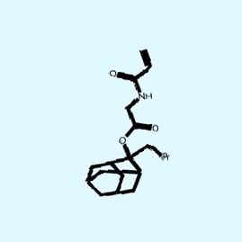 C=CC(=O)NCC(=O)OC1(CC(C)C)C2CC3CC(C2)CC1C3